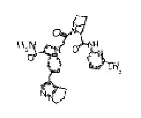 Cc1cccc(NC(=O)[C@@H]2C3CCC(C3)N2C(=O)Cn2cc(C(N)=O)c3cc(-c4cnn5c4CCC5)ccc32)n1